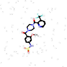 COc1cc(N[SH](=O)=O)ccc1C(=O)N1CCN(C(=O)c2ncccc2C(F)(F)F)CC1